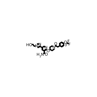 NC(=O)c1cc(-c2cn(CCO)cn2)cnc1OC1CCN(C(=O)Cc2ccc(OC(F)(F)F)cc2)CC1